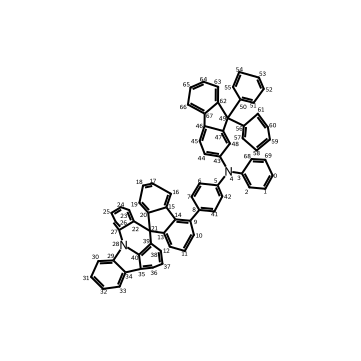 c1ccc(N(c2ccc(-c3cccc4c3-c3ccccc3C43c4ccccc4-n4c5ccccc5c5cccc3c54)cc2)c2ccc3c(c2)C(c2ccccc2)(c2ccccc2)c2ccccc2-3)cc1